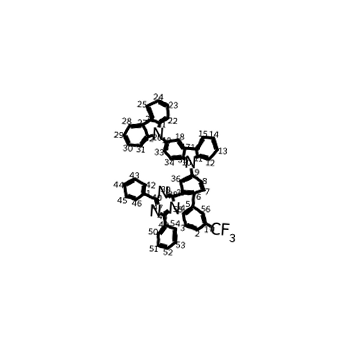 FC(F)(F)c1cccc(-c2ccc(-n3c4ccccc4c4cc(-n5c6ccccc6c6ccccc65)ccc43)cc2-c2nc(-c3ccccc3)nc(-c3ccccc3)n2)c1